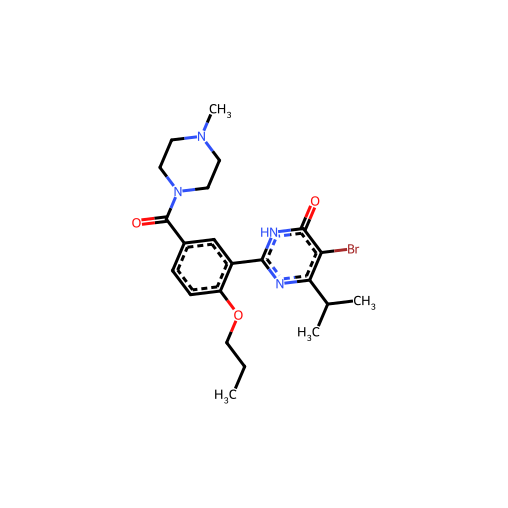 CCCOc1ccc(C(=O)N2CCN(C)CC2)cc1-c1nc(C(C)C)c(Br)c(=O)[nH]1